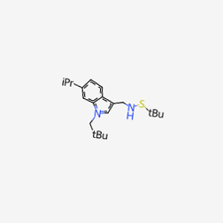 CC(C)c1ccc2c(CNSC(C)(C)C)cn(CC(C)(C)C)c2c1